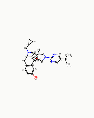 CC(C)c1cnc(N2C[C@H]3CC45CCC2C3C42CCN(CC3CC3)C5Cc3ccc(O)cc32)nc1